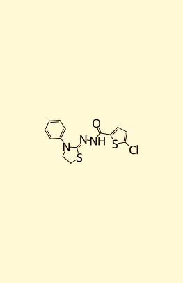 O=C(NN=C1SCCN1c1ccccc1)c1ccc(Cl)s1